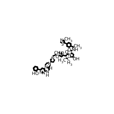 Cc1ncsc1-c1ccc([C@H](C)NC(=O)[C@@H]2C[C@@H](O)CN2C(=O)[C@@H](c2cc(O[C@H](C)CN3CC[C@@H](N4CCN5c6cc(-c7ccccc7O)nnc6NC[C@@H]5C4)C3)no2)C(C)C)cc1